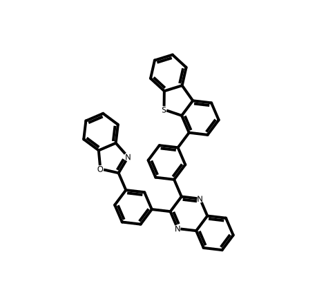 c1cc(-c2nc3ccccc3o2)cc(-c2nc3ccccc3nc2-c2cccc(-c3cccc4c3sc3ccccc34)c2)c1